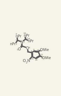 CCCC(CCC)N(C(=O)OCc1cc(OC)c(OC)cc1[N+](=O)[O-])C(CCC)CCC